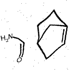 C1=C2CCC(C1)C2.NC=O